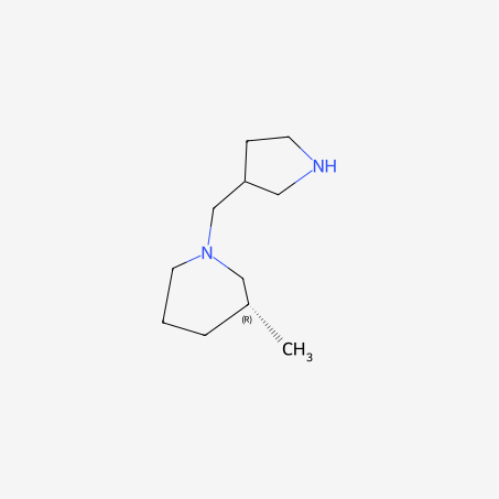 C[C@@H]1CCCN(CC2CCNC2)C1